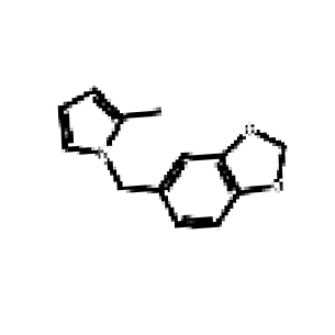 Cc1[c]ccn1Cc1ccc2c(c1)OCO2